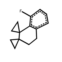 Fc1cccc2c1C1(CC1)C1(CC2)CC1